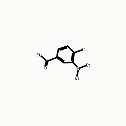 C[CH]C(=O)c1ccc(Cl)c(N(CC)CC)c1